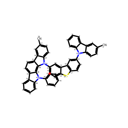 N#Cc1ccc2c(c1)c1ccccc1n2-c1ccc2sc3ccc(-n4c5ccc(C#N)cc5c5ccc6c7ccccc7n(-c7ccccc7)c6c54)cc3c2c1